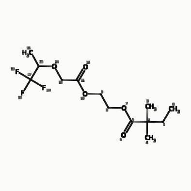 CCC(C)(C)C(=O)OCCOC(=O)COC(C)C(F)(F)F